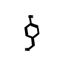 OC=C1C=CC(O)=CC1